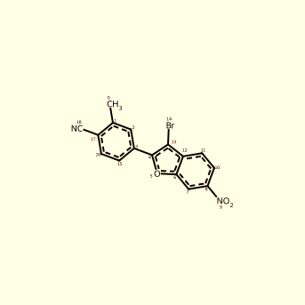 Cc1cc(-c2oc3cc([N+](=O)[O-])ccc3c2Br)ccc1C#N